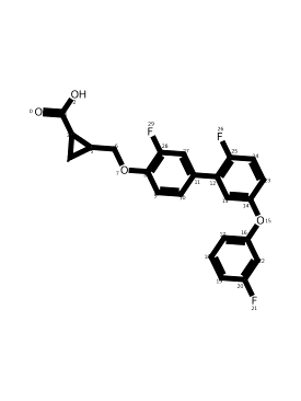 O=C(O)C1CC1COc1ccc(-c2cc(Oc3cccc(F)c3)ccc2F)cc1F